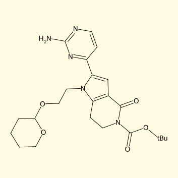 CC(C)(C)OC(=O)N1CCc2c(cc(-c3ccnc(N)n3)n2CCOC2CCCCO2)C1=O